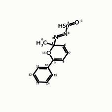 CC1(N=[N][SnH]=[O])C=CC=C(c2ccccc2)O1